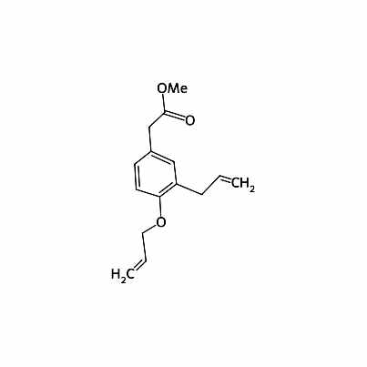 C=CCOc1ccc(CC(=O)OC)cc1CC=C